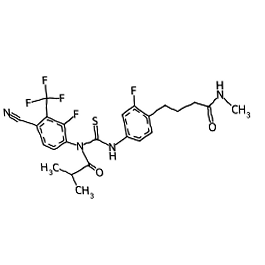 CNC(=O)CCCc1ccc(NC(=S)N(C(=O)C(C)C)c2ccc(C#N)c(C(F)(F)F)c2F)cc1F